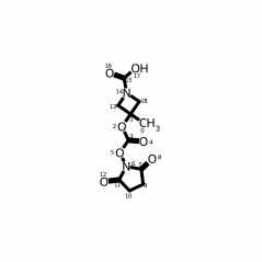 CC1(OC(=O)ON2C(=O)CCC2=O)CN(C(=O)O)C1